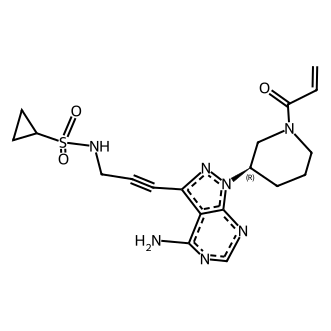 C=CC(=O)N1CCC[C@@H](n2nc(C#CCNS(=O)(=O)C3CC3)c3c(N)ncnc32)C1